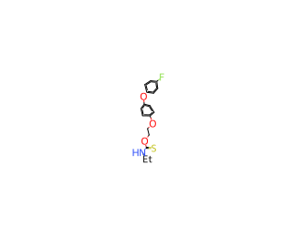 CCNC(=S)OCCOc1ccc(Oc2ccc(F)cc2)cc1